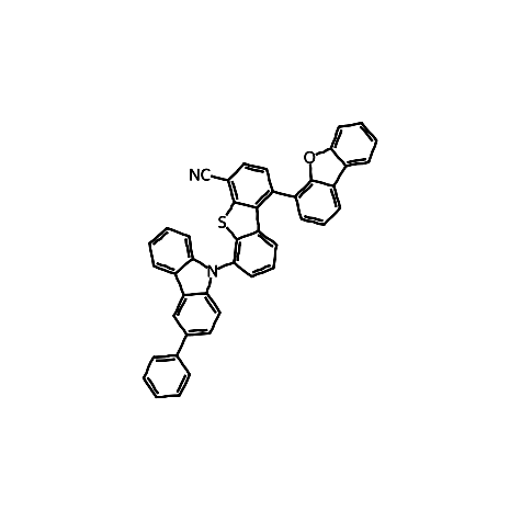 N#Cc1ccc(-c2cccc3c2oc2ccccc23)c2c1sc1c(-n3c4ccccc4c4cc(-c5ccccc5)ccc43)cccc12